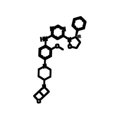 COc1cc(N2CCC(N3CC4OCC43)CC2)ccc1Nc1cc(N2OCC[C@@H]2c2ccccc2)ncn1